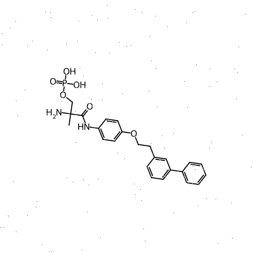 CC(N)(COP(=O)(O)O)C(=O)Nc1ccc(OCCc2cccc(-c3ccccc3)c2)cc1